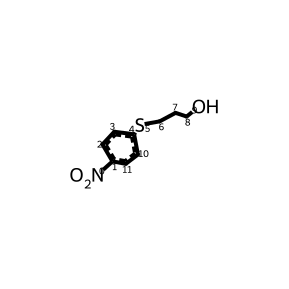 O=[N+]([O-])c1ccc(SCCCO)cc1